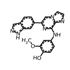 COc1cc(Nc2nc(-c3ccc4cn[nH]c4c3)cn3ccnc23)ccc1O